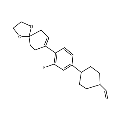 C=CC1CCC(c2ccc(C3=CCC4(CC3)OCCO4)c(F)c2)CC1